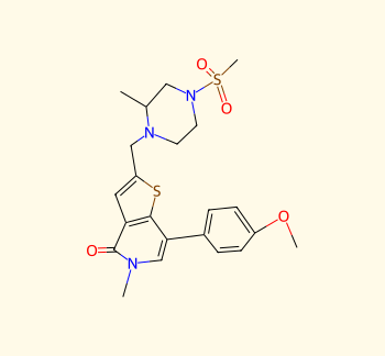 COc1ccc(-c2cn(C)c(=O)c3cc(CN4CCN(S(C)(=O)=O)CC4C)sc23)cc1